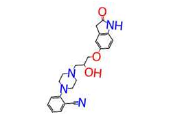 N#Cc1ccccc1N1CCN(CC(O)COc2ccc3c(c2)CC(=O)N3)CC1